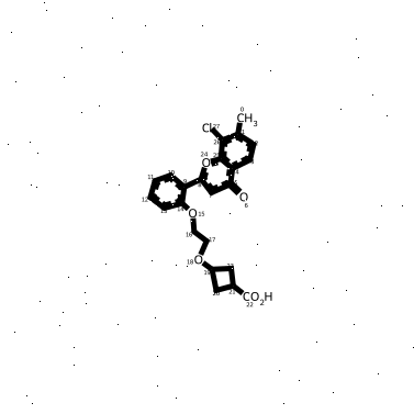 Cc1ccc2c(=O)cc(-c3ccccc3OCCOC3CC(C(=O)O)C3)oc2c1Cl